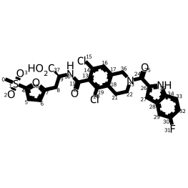 CS(=O)(=O)c1ccc(C[C@H](NC(=O)c2c(Cl)cc3c(c2Cl)CCN(C(=O)c2cc4cc(F)ccc4[nH]2)C3)C(=O)O)o1